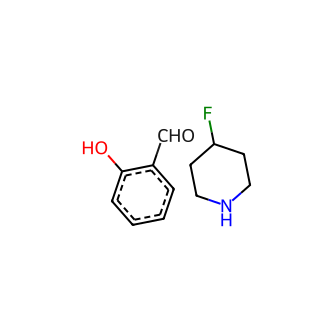 FC1CCNCC1.O=Cc1ccccc1O